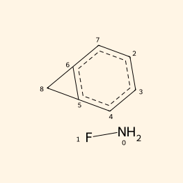 NF.c1ccc2c(c1)C2